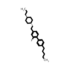 CCCCCc1ccc(-c2ccc(CC[C@H]3CC[C@H](CCC)CC3)cc2F)cc1